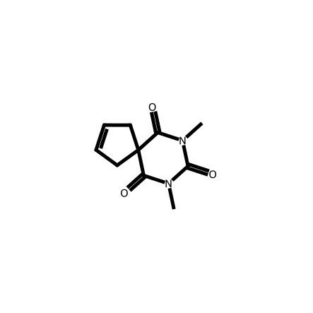 CN1C(=O)N(C)C(=O)C2(CC=CC2)C1=O